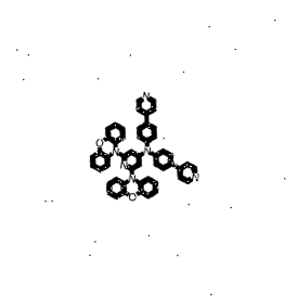 c1ccc2c(c1)Oc1ccccc1N2c1cc(N(c2ccc(-c3ccncc3)cc2)c2ccc(-c3ccncc3)cc2)cc(N2c3ccccc3Oc3ccccc32)n1